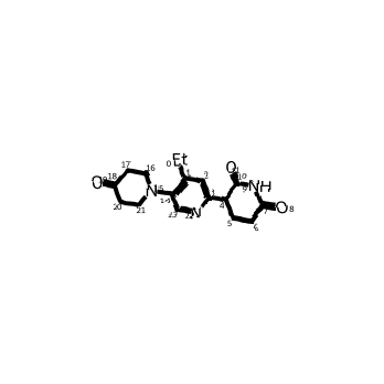 CCc1cc(C2CCC(=O)NC2=O)ncc1N1CCC(=O)CC1